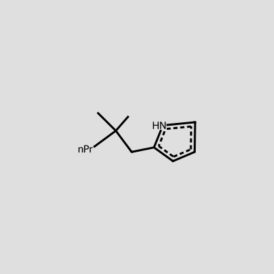 CCCC(C)(C)Cc1ccc[nH]1